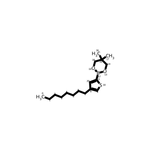 CCCCCCCCc1csc(B2OCC(C)(C)CO2)c1